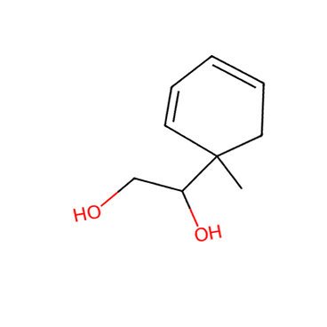 CC1(C(O)CO)C=CC=CC1